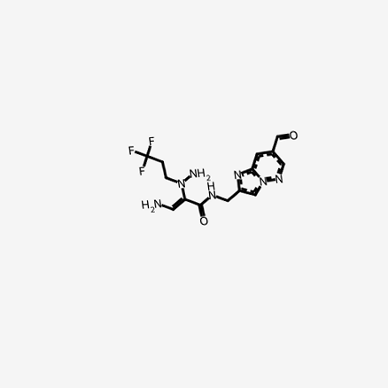 N/C=C(/C(=O)NCc1cn2ncc(C=O)cc2n1)N(N)CCC(F)(F)F